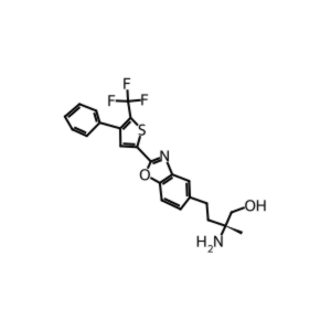 C[C@](N)(CO)CCc1ccc2oc(-c3cc(-c4ccccc4)c(C(F)(F)F)s3)nc2c1